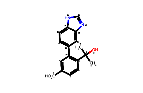 CC(C)(O)c1ccc(C(=O)O)cc1-c1ccc2[nH]cnc2c1